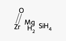 [MgH2].[O]=[Zr].[SiH4]